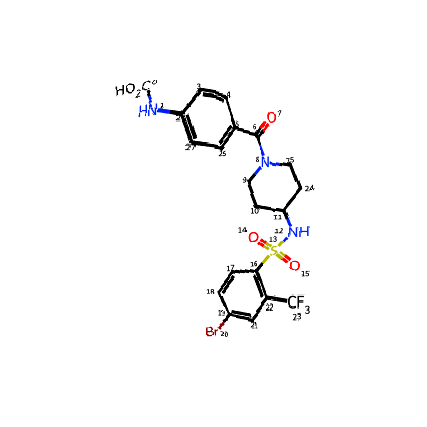 O=C(O)Nc1ccc(C(=O)N2CCC(NS(=O)(=O)c3ccc(Br)cc3C(F)(F)F)CC2)cc1